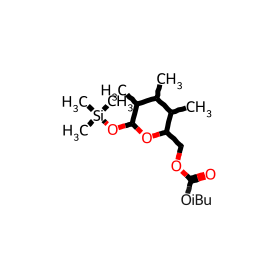 CC(C)COC(=O)OCC1OC(O[Si](C)(C)C)C(C)C(C)C1C